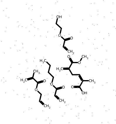 C=C(CC=C(C)C(=O)O)C(=O)OC.C=CC(=O)OCCCC.C=CC(=O)OCCO.C=CCOC(=O)C(=C)C